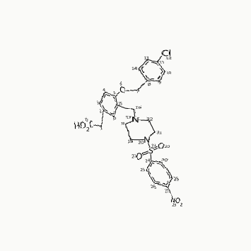 O=C(O)Cc1ccc(OCc2ccc(Cl)cc2)c(CN2CCN(S(=O)(=O)c3ccc([N+](=O)[O-])cc3)CC2)c1